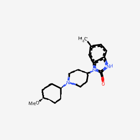 CO[C@H]1CC[C@@H](N2CCC(n3c(=O)[nH]c4ccc(C)cc43)CC2)CC1